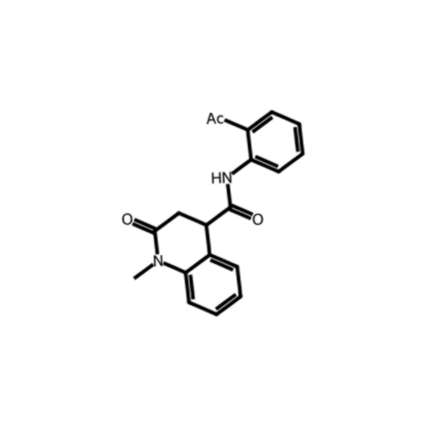 CC(=O)c1ccccc1NC(=O)C1CC(=O)N(C)c2ccccc21